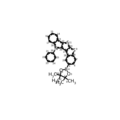 CC1(C)OB(c2ccc3sc4sc5c6ccccc6n(-c6ccccc6)c5c4c3c2)OC1(C)C